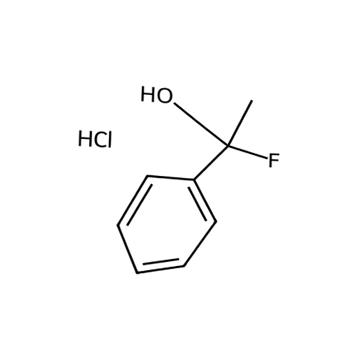 CC(O)(F)c1ccccc1.Cl